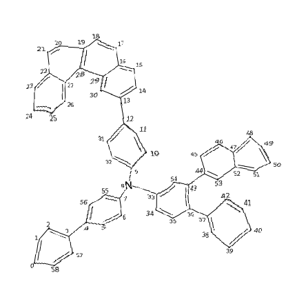 c1ccc(-c2ccc(N(c3ccc(-c4ccc5ccc6ccc7ccccc7c6c5c4)cc3)c3ccc(-c4ccccc4)c(-c4ccc5ccccc5c4)c3)cc2)cc1